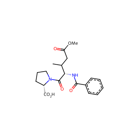 COC(=O)CC(C)[C@H](NC(=O)c1ccccc1)C(=O)N1CCC[C@H]1C(=O)O